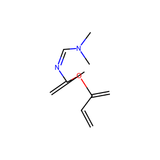 C=CC(=C)OC(=C)/N=C\N(C)C